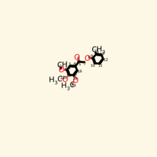 COc1cc(C(=O)COc2ccccc2C)cc(OC)c1OC